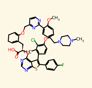 COc1ccccc1-c1nccc(COC2=CCCC=C2C[C@@H](Oc2ncnc3sc(-c4ccc(F)cc4)c(-c4ccc(OCCN5CCN(C)CC5)c(Cl)c4C)c23)C(=O)O)n1